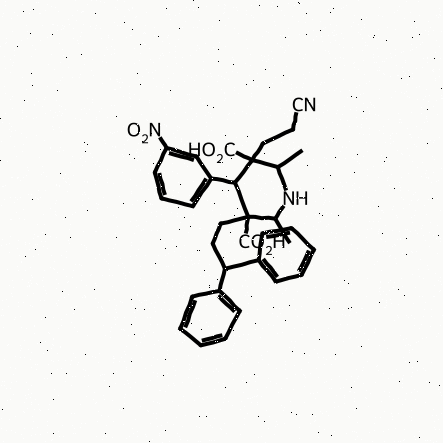 CC1NC(C)C(CCC(c2ccccc2)c2ccccc2)(C(=O)O)C(c2cccc([N+](=O)[O-])c2)C1(CCC#N)C(=O)O